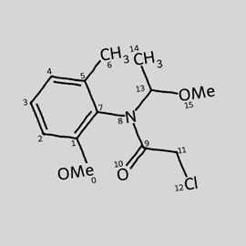 COc1cccc(C)c1N(C(=O)CCl)C(C)OC